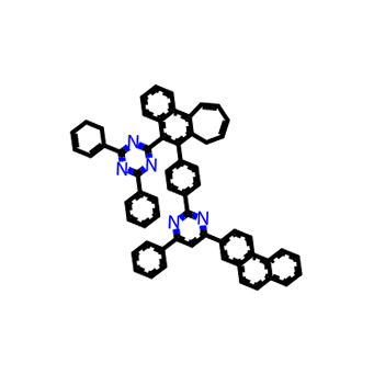 C1=CCCC(c2nc(-c3ccccc3)nc(-c3c(-c4ccc(-c5nc(-c6ccccc6)cc(-c6ccc7c(ccc8ccccc87)c6)n5)cc4)c4c(c5ccccc35)C=CC=CC4)n2)=C1